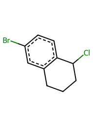 ClC1CCCc2cc(Br)ccc21